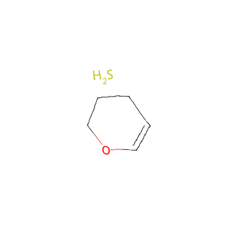 C1=COCCC1.S